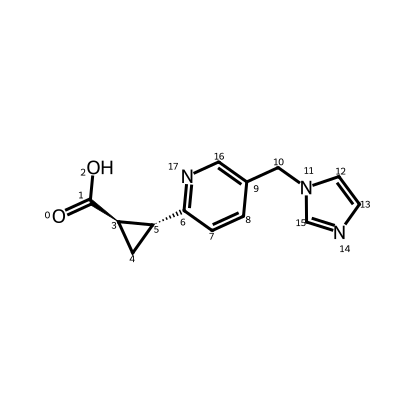 O=C(O)[C@@H]1C[C@H]1c1ccc(Cn2ccnc2)cn1